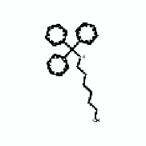 OCCCCCCNC(c1ccccc1)(c1ccccc1)c1ccccc1